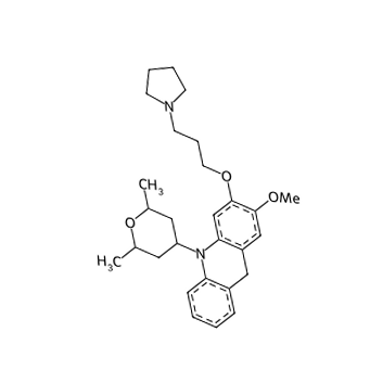 COc1cc2c(cc1OCCCN1CCCC1)N(C1CC(C)OC(C)C1)c1ccccc1C2